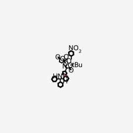 CC(C)(C)OC(=O)C(=NOC1(C(=O)OCc2ccc([N+](=O)[O-])cc2)CCC(=O)O1)c1c[nH]c(NC(c2ccccc2)(c2ccccc2)c2ccccc2)c1